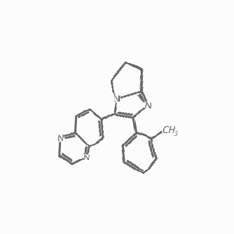 Cc1ccccc1-c1nc2n(c1-c1ccc3nccnc3c1)CCC2